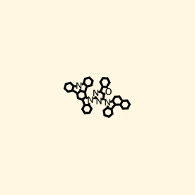 c1ccc2c(c1)ccc1c2c2ccccc2n1-c1nc(-n2c3ccccc3c3cc4c5ccccc5n5c6ccccc6c(c32)c45)nc2c1oc1ccccc12